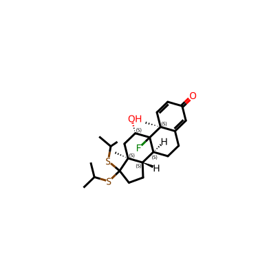 CC(C)SC1(SC(C)C)CC[C@H]2[C@@H]3CCC4=CC(=O)C=C[C@]4(C)C3(F)[C@@H](O)C[C@@]21C